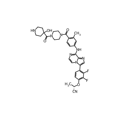 Cc1cc(Nc2nccn3c(-c4ccc(O[C@@H](C)C#N)c(F)c4F)cnc23)ccc1C(=O)N1CCN(C(=O)C2(O)CCNCC2)CC1